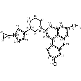 Cc1cnc2c(-c3ccc(Cl)cc3F)nc(N3CCO[C@H](c4cnn(C5CC5)c4)C3)nc2n1